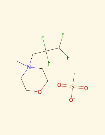 CS(=O)(=O)[O-].C[N+]1(CC(F)(F)C(F)F)CCOCC1